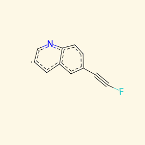 FC#Cc1ccc2nc[c]cc2c1